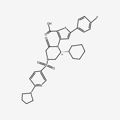 O=C(O)c1sc(-c2ccc(F)cc2)cc1N1C(=O)CN(S(=O)(=O)c2ccc(N3CCCC3)nc2)C[C@H]1C1CCCCC1